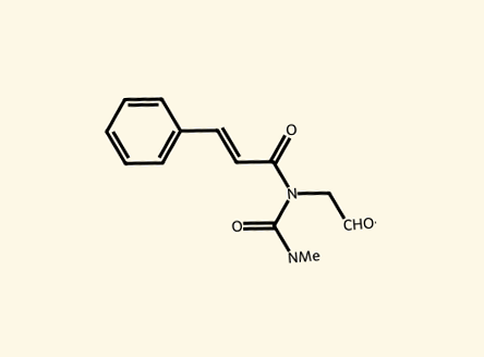 CNC(=O)N(C[C]=O)C(=O)C=Cc1ccccc1